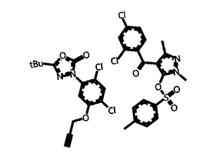 C#CCOc1cc(-n2nc(C(C)(C)C)oc2=O)c(Cl)cc1Cl.Cc1ccc(S(=O)(=O)Oc2c(C(=O)c3ccc(Cl)cc3Cl)c(C)nn2C)cc1